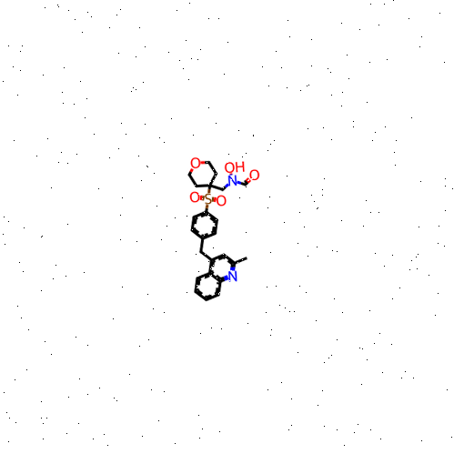 Cc1cc(Cc2ccc(S(=O)(=O)C3(CN(O)C=O)CCOCC3)cc2)c2ccccc2n1